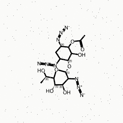 CC(=O)OC1C(O)[C@H](O[C@H]2OC([C@@H](C)O)[C@@H](O)[C@H](O)C2N=[N+]=[N-])C(N=[N+]=[N-])C[C@H]1N=[N+]=[N-]